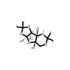 CC1(C)O[C@@H]2O[C@H]3COC(C)(C)O[C@H]3[C@@H]2O1